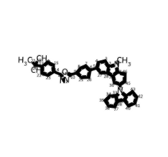 Cn1c2ccc(-c3ccc(-c4nnc(-c5ccc(C(C)(C)C)cc5)o4)cc3)cc2c2cc(-n3c4ccccc4c4ccccc43)ccc21